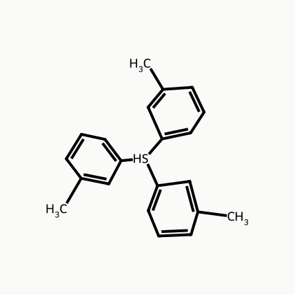 Cc1cccc([SH](c2cccc(C)c2)c2cccc(C)c2)c1